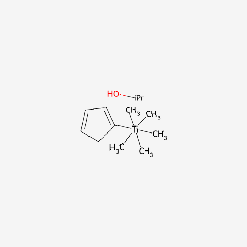 CC(C)O.[CH3][Ti]([CH3])([CH3])([CH3])([CH3])[C]1=CC=CC1